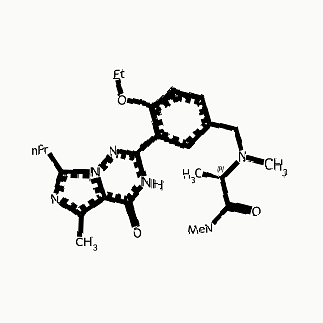 CCCc1nc(C)c2c(=O)[nH]c(-c3cc(CN(C)[C@H](C)C(=O)NC)ccc3OCC)nn12